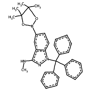 CNc1nn(C(c2ccccc2)(c2ccccc2)c2ccccc2)c2ccc(B3OC(C)(C)C(C)(C)O3)cc12